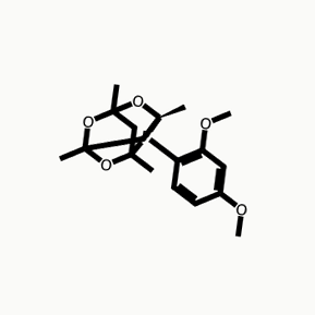 COc1ccc(P2C3(C)CC4(C)OC(C)(C[C@]2(C)O4)O3)c(OC)c1